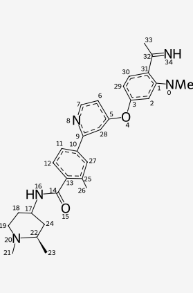 CNc1cc(Oc2ccnc(-c3ccc(C(=O)NC4CCN(C)[C@H](C)C4)c(C)c3)c2)ccc1C(C)=N